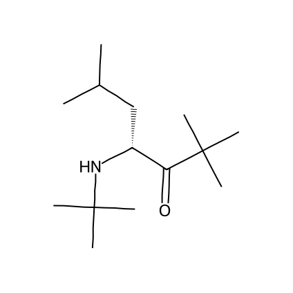 CC(C)C[C@@H](NC(C)(C)C)C(=O)C(C)(C)C